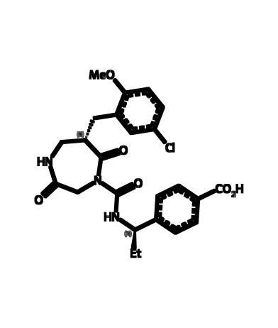 CC[C@@H](NC(=O)N1CC(=O)NC[C@H](Cc2cc(Cl)ccc2OC)C1=O)c1ccc(C(=O)O)cc1